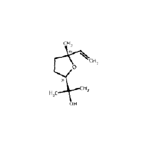 C=C[C@@]1(C)CC[C@H](C(C)(C)O)O1